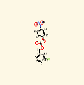 O=C(OCc1cccc(F)c1)Oc1ccc([N+](=O)[O-])cc1